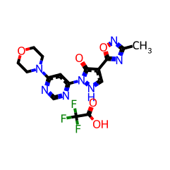 Cc1noc(-c2c[nH]n(-c3cc(N4CCOCC4)ncn3)c2=O)n1.O=C(O)C(F)(F)F